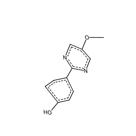 COc1cnc(-c2ccc(O)cc2)nc1